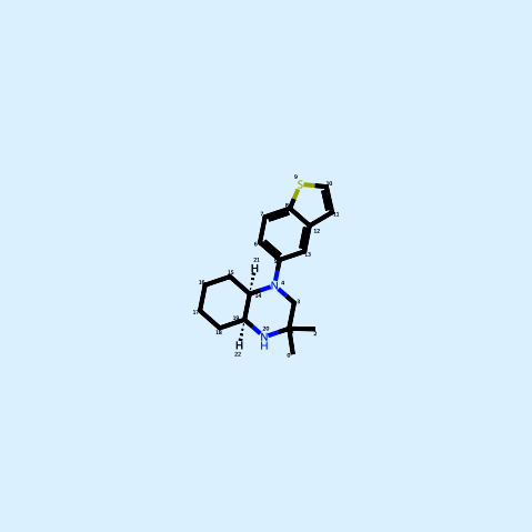 CC1(C)CN(c2ccc3sccc3c2)[C@@H]2CCCC[C@@H]2N1